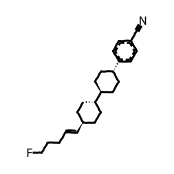 N#Cc1ccc([C@H]2CC[C@H]([C@H]3CC[C@H](C=CCCCF)CC3)CC2)cc1